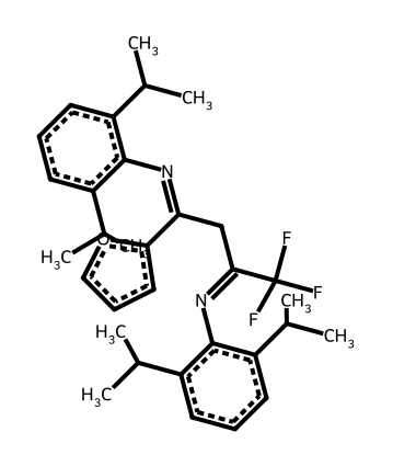 CC(C)c1cccc(C(C)C)c1N=C(CC(=Nc1c(C(C)C)cccc1C(C)C)C(F)(F)F)c1ccco1